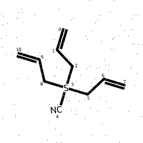 C=CCS(C#N)(CC=C)CC=C